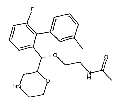 CC(=O)NCCO[C@@H](c1cccc(F)c1-c1cccc(C)c1)C1CNCCO1